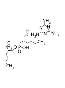 CCCCC(CC)COP(=O)(O)CC(CC)CCCC.Nc1nc(N)nc(N)n1